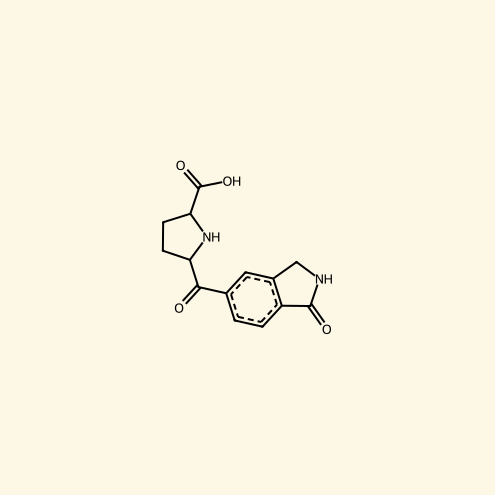 O=C1NCc2cc(C(=O)C3CCC(C(=O)O)N3)ccc21